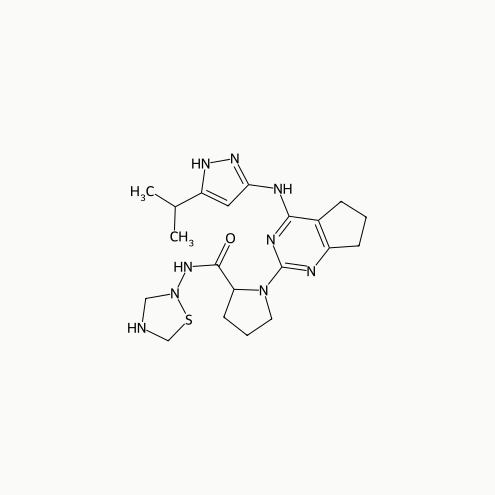 CC(C)c1cc(Nc2nc(N3CCCC3C(=O)NN3CNCS3)nc3c2CCC3)n[nH]1